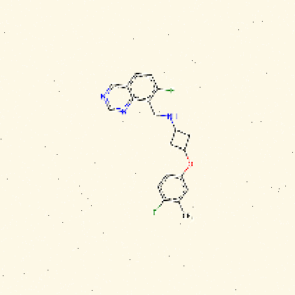 Fc1ccc(OC2CC(NCc3c(F)ccc4cncnc34)C2)cc1C(F)(F)F